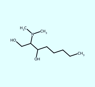 CCCCCC(O)C(CO)N(C)C